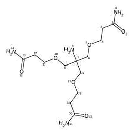 NC(=O)CCOCC(N)(COCCC(N)=O)COCCC(N)=O